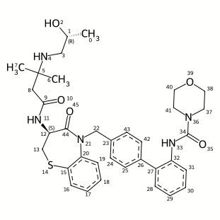 C[C@@H](O)CNC(C)(C)CC(=O)N[C@@H]1CSc2ccccc2N(Cc2ccc(-c3ccccc3NC(=O)N3CCOCC3)cc2)C1=O